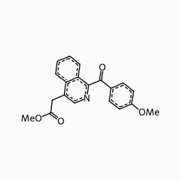 COC(=O)Cc1cnc(C(=O)c2ccc(OC)cc2)c2ccccc12